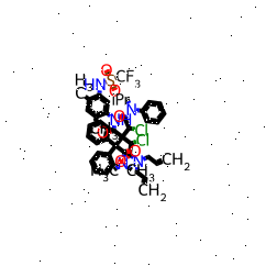 C=CCN(CC=C)C(=O)C(Cl)C(C(=O)Nc1cc(NS(=O)(=O)C(F)(F)F)c(C)cc1C)(C(Cl)C(=O)N(c1ccccc1)C(C)C)C(C(=O)N(C)C)(c1ccccc1)c1ccccc1